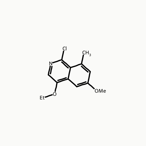 CCOc1cnc(Cl)c2c(C)cc(OC)cc12